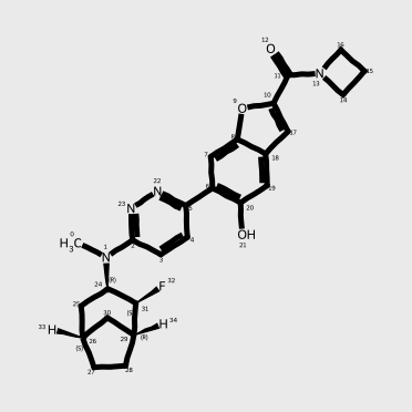 CN(c1ccc(-c2cc3oc(C(=O)N4CCC4)cc3cc2O)nn1)[C@@H]1C[C@H]2CC[C@H](C2)[C@@H]1F